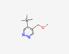 COCc1cnnc[c]1[Sn]([CH3])([CH3])[CH3]